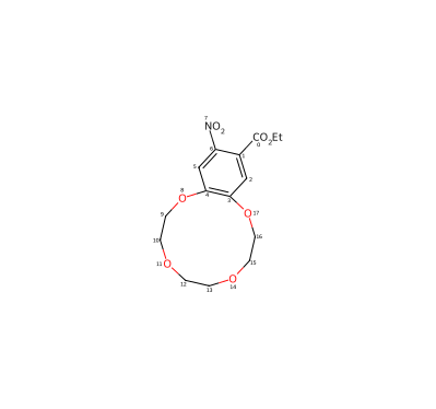 CCOC(=O)c1cc2c(cc1[N+](=O)[O-])OCCOCCOCCO2